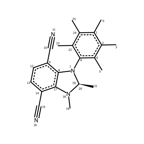 Cc1c(C)c(C)c(N2c3c(C#N)ccc(C#N)c3N(C)[C@@H]2C)c(C)c1C